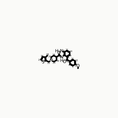 COc1ccc(C(=O)c2cccc(N)c2NC(=O)C2CCN(Cc3sccc3C)CC2)cc1